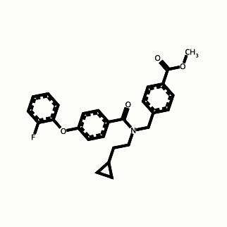 COC(=O)c1ccc(CN(CCC2CC2)C(=O)c2ccc(Oc3ccccc3F)cc2)cc1